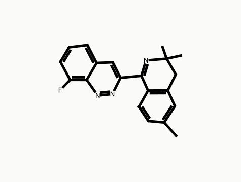 Cc1ccc2c(c1)CC(C)(C)N=C2c1cc2cccc(F)c2nn1